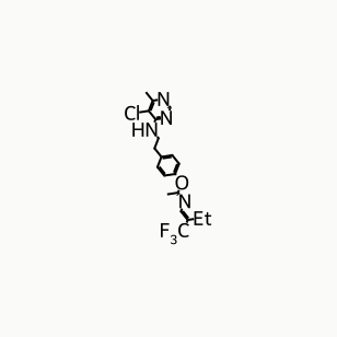 CC/C(=C\N=C(/C)Oc1ccc(CCNc2ncnc(C)c2Cl)cc1)C(F)(F)F